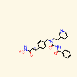 O=C(/C=C/c1ccc(CN(CCc2cccnc2)C(=O)NC(=O)c2ccccc2)cc1)NO